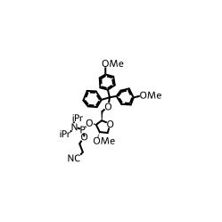 COc1ccc(C(OC[C@H]2OC[C@H](OC)[C@@H]2OP(OCCC#N)N(C(C)C)C(C)C)(c2ccccc2)c2ccc(OC)cc2)cc1